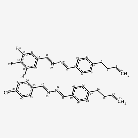 C=CCCc1ccc(C=NN=Cc2cc(F)c(F)c(F)c2)cc1.C=CCCc1ccc(C=NN=Cc2ccc(Cl)cc2)cc1